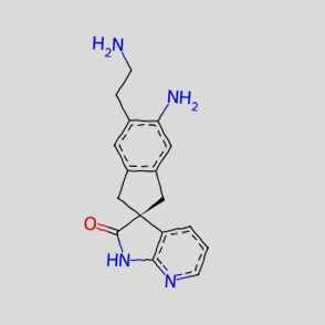 NCCc1cc2c(cc1N)C[C@]1(C2)C(=O)Nc2ncccc21